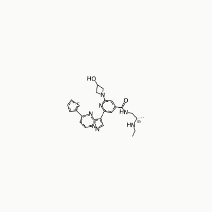 CCN[C@@H](C)CNC(=O)c1cc(-c2cnn3ccc(-c4cccs4)nc23)nc(N2CC(O)C2)c1